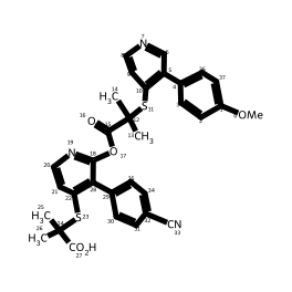 COc1ccc(-c2cnccc2SC(C)(C)C(=O)Oc2nccc(SC(C)(C)C(=O)O)c2-c2ccc(C#N)cc2)cc1